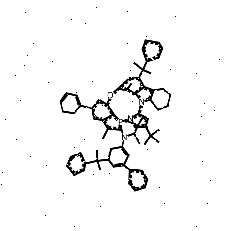 Cc1c(N(C2=CC(c3ccccc3)=CC(C(C)(C)c3ccccc3)C2)C(C)C(C)(C)C)p2c3c(cc(C4=CC=CCC4)cc13)oc1cc(C(C)(C)c3ccccc3)c3c4c(n(c3c1C)c1cc(C(C)(C)C)cn12)CCCC4